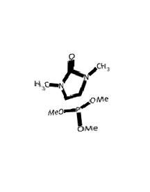 CN1CCN(C)C1=O.COP(OC)OC